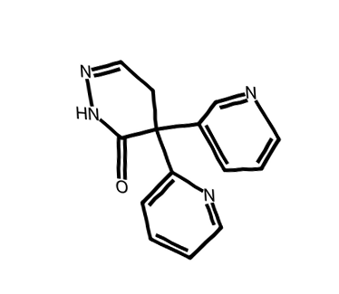 O=C1NN=CCC1(c1cccnc1)c1ccccn1